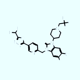 O=c1n(Cc2ccc(-c3nnc(C(F)F)o3)cn2)c2cc(F)c(Br)cc2n1C1CCN(CC(F)(F)F)CC1